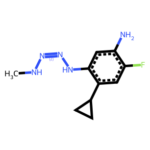 CN/N=N\Nc1cc(N)c(F)cc1C1CC1